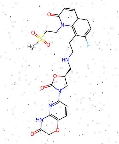 CS(=O)(=O)CCN1C(=O)C=CC2CC=C(F)C(CCNC[C@H]3CN(c4ccc5c(n4)NC(=O)CO5)C(=O)O3)=C21